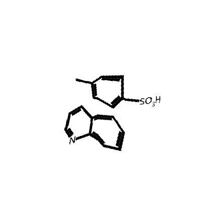 Cc1ccc(S(=O)(=O)O)cc1.c1ccc2ncccc2c1